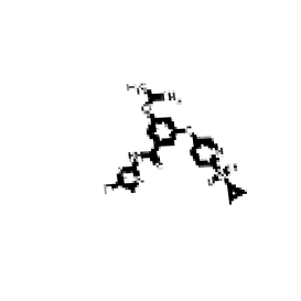 CC(C)Oc1cc(Oc2ccc(S(=O)(=O)C3CC3)nc2)cc(C(=O)Nc2ncc(F)s2)c1